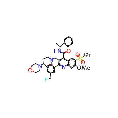 COc1cc2nc(-c3cccc(CF)c3)c(CN3CCC(N4CCOCC4)CC3)c(C(=O)N[C@@H](C)c3ccccc3)c2cc1S(=O)(=O)C(C)C